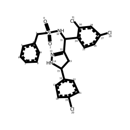 O=S(=O)(Cc1ccccc1)NC(C1=NNC(c2ccc(Cl)cc2)C1)c1ccc(Cl)cc1Cl